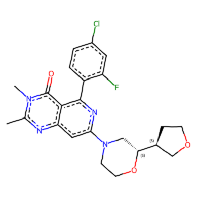 Cc1nc2cc(N3CCO[C@@H]([C@H]4CCOC4)C3)nc(-c3ccc(Cl)cc3F)c2c(=O)n1C